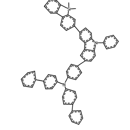 C[Si]1(C)c2ccccc2-c2ccc(-c3ccc4c(c3)c3cc(-c5ccc(N(c6ccc(-c7ccccc7)cc6)c6ccc(-c7ccccc7)cc6)cc5)ccc3n4-c3ccccc3)cc21